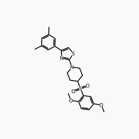 COc1ccc(OC)c(S(=O)(=O)C2CCN(c3nc(-c4cc(C)cc(C)c4)cs3)CC2)c1